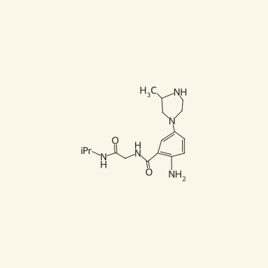 CC(C)NC(=O)CNC(=O)c1cc(N2CCNC(C)C2)ccc1N